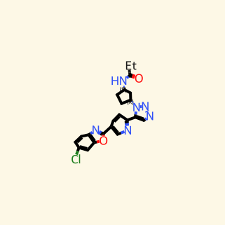 CCC(=O)N[C@H]1CC[C@@H](n2nncc2-c2ccc(-c3nc4ccc(Cl)cc4o3)cn2)C1